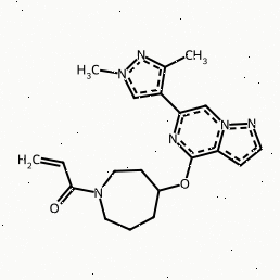 C=CC(=O)N1CCCC(Oc2nc(-c3cn(C)nc3C)cn3nccc23)CC1